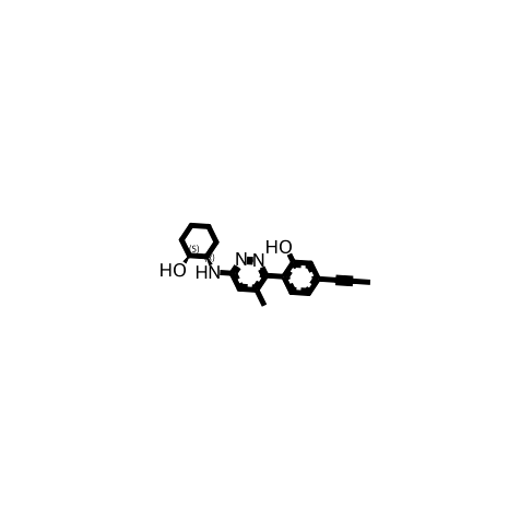 CC#Cc1ccc(-c2nnc(N[C@@H]3CCCC[C@@H]3O)cc2C)c(O)c1